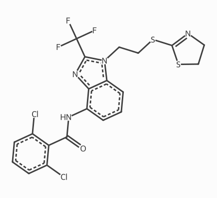 O=C(Nc1cccc2c1nc(C(F)(F)F)n2CCSC1=NCCS1)c1c(Cl)cccc1Cl